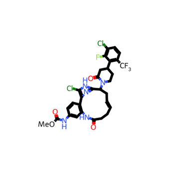 COC(=O)Nc1ccc2c(c1)NC(=O)CC/C=C/CC(N1CCC(c3c(C(F)(F)F)ccc(Cl)c3F)CC1=O)c1nc-2c(Cl)[nH]1